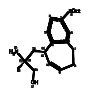 CCCCCCCCc1ccc2c(c1)CCC=C[C@H]2C[C@](C)(N)CO